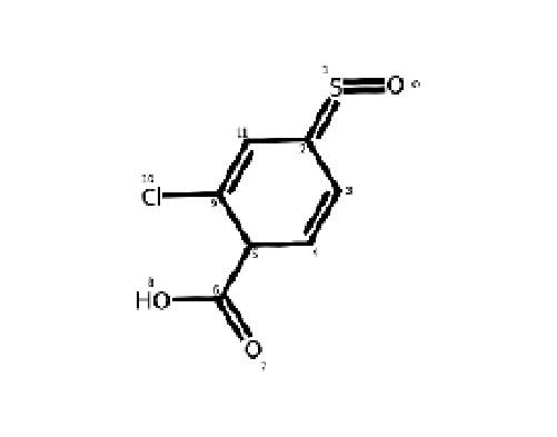 O=S=C1C=CC(C(=O)O)C(Cl)=C1